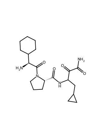 NC(=O)C(=O)C(CC1CC1)NC(=O)[C@@H]1CCCN1C(=O)[C@@H](N)C1CCCCC1